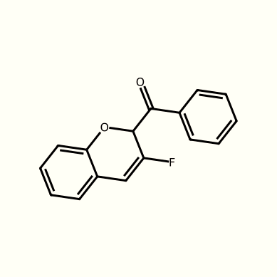 O=C(c1ccccc1)C1Oc2ccccc2C=C1F